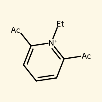 CC[n+]1c(C(C)=O)cccc1C(C)=O